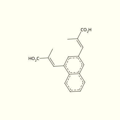 C/C(=C\c1cc(/C=C(\C)C(=O)O)c2ccccc2c1)C(=O)O